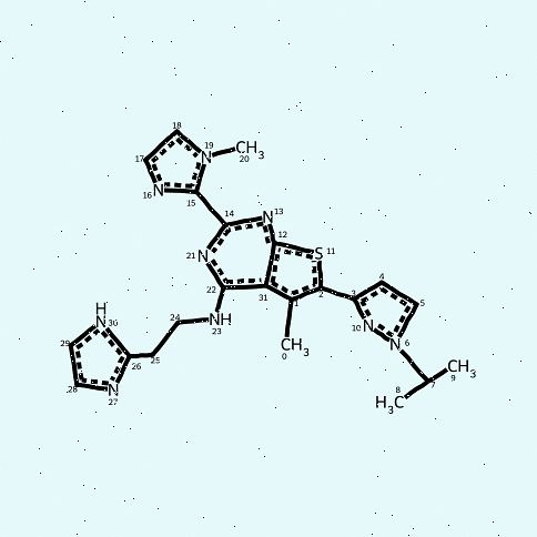 Cc1c(-c2ccn(C(C)C)n2)sc2nc(-c3nccn3C)nc(NCCc3ncc[nH]3)c12